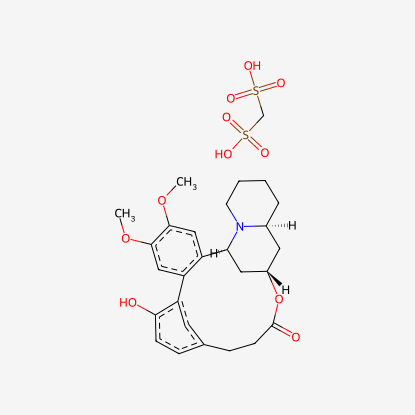 COc1cc2c(cc1OC)[C@@H]1C[C@H](C[C@@H]3CCCCN31)OC(=O)CCc1ccc(O)c-2c1.O=S(=O)(O)CS(=O)(=O)O